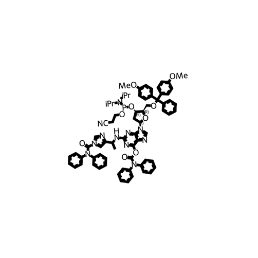 COc1ccc(C(OC[C@H]2O[C@@H](n3cnc4c(OC(=O)N(c5ccccc5)c5ccccc5)nc(NC(C)c5cn(C(=O)N(c6ccccc6)c6ccccc6)cn5)nc43)C[C@@H]2OP(OCCC#N)N(C(C)C)C(C)C)(c2ccccc2)c2ccc(OC)cc2)cc1